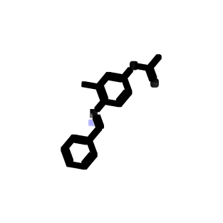 CC(=O)Oc1ccc(/N=C/c2ccccc2)c(C)c1